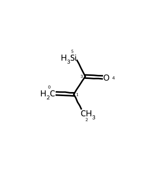 C=C(C)C(=O)[SiH3]